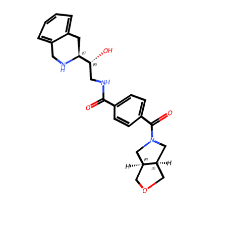 O=C(NC[C@@H](O)[C@@H]1Cc2ccccc2CN1)c1ccc(C(=O)N2C[C@H]3COC[C@H]3C2)cc1